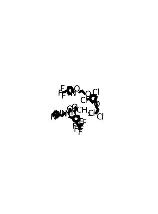 CC(=O)N1C(=O)N(NCc2cccnc2)Cc2cc(C(F)(C(F)(F)F)C(F)(F)F)ccc21.FC(F)(F)c1ccc(OCCCOc2c(Cl)cc(OCC=C(Cl)Cl)cc2Cl)nc1